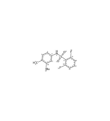 Cc1ccc(NS(=O)(=O)c2c(F)cccc2F)cc1C(C)(C)C